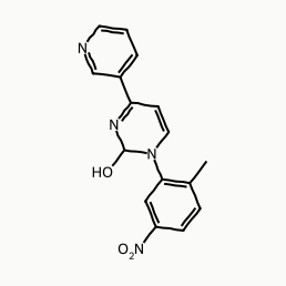 Cc1ccc([N+](=O)[O-])cc1N1C=CC(c2cccnc2)=NC1O